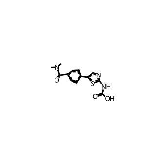 CN(C)C(=O)c1ccc(-c2cnc(NC(=O)O)s2)cc1